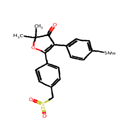 CSc1ccc(C2=C(c3ccc(C[SH](=O)=O)cc3)OC(C)(C)C2=O)cc1